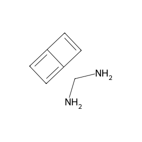 NCN.c1cc2ccc1-2